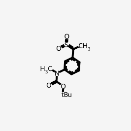 CC(c1cccc(N(C)C(=O)OC(C)(C)C)c1)=S(=O)=O